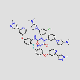 CN(C)C1CCN(c2cccc(N(C(=O)Nc3cc(Oc4ccnc(-c5cnn(C)c5)c4)ccc3F)N(C(=O)Nc3cc(Oc4ccnc(-c5cnn(C)c5)c4)ccc3F)c3cc(Cl)cc(N4CCC(N(C)C)C4)c3)c2)C1